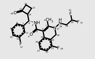 CC1=C(C(=O)N[C@H](c2cccc(F)c2)C2CCC2=O)c2cccc(F)c2CN1NCC(F)F